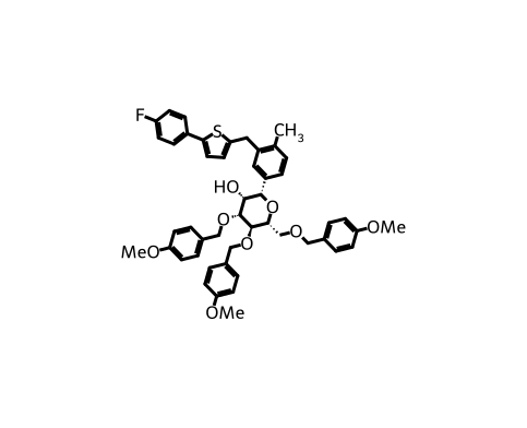 COc1ccc(COC[C@H]2O[C@@H](c3ccc(C)c(Cc4ccc(-c5ccc(F)cc5)s4)c3)[C@@H](O)[C@@H](OCc3ccc(OC)cc3)[C@@H]2OCc2ccc(OC)cc2)cc1